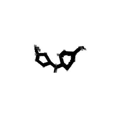 Cc1ccc(NC2CCN(C)C2)nc1